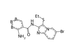 CCSc1c(NC(=O)c2cbbbc2N)nc2ccc(Br)cn12